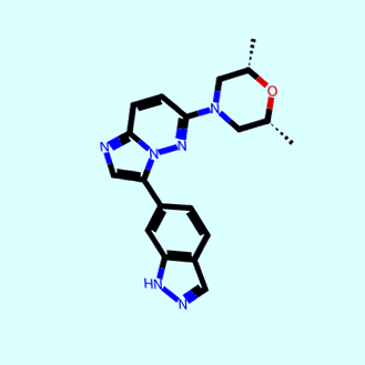 C[C@@H]1CN(c2ccc3ncc(-c4ccc5cn[nH]c5c4)n3n2)C[C@H](C)O1